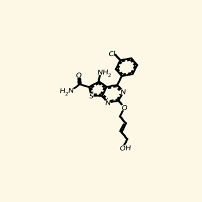 NC(=O)c1sc2nc(OCC=CCO)nc(-c3cccc(Cl)c3)c2c1N